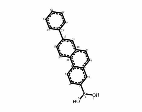 OB(O)c1ccc2c(ccc3cc(-c4ccccc4)ccc32)c1